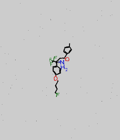 Cc1ccc(C(=O)C[C@](N)(c2ccc(OCCCCF)cc2)C(F)(F)F)cc1